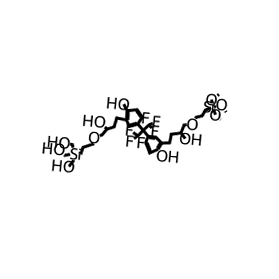 CO[Si](CCCOCC(O)CCc1cc(C(c2ccc(O)c(CCC(O)COCCC[Si](CO)(CO)CO)c2)(C(F)(F)F)C(F)(F)F)ccc1O)(OC)OC